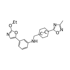 CCOc1ncc(-c2cccc(NCC34CCC(c5nc(C)no5)(CC3)CC4)c2)o1